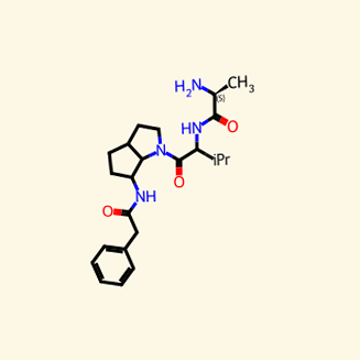 CC(C)C(NC(=O)[C@H](C)N)C(=O)N1CCC2CCC(NC(=O)Cc3ccccc3)C21